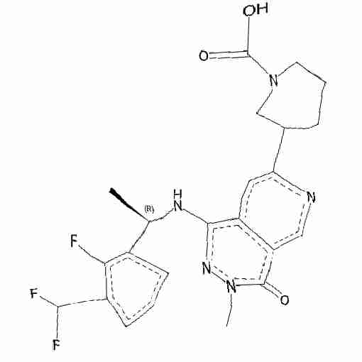 C[C@@H](Nc1nn(C)c(=O)c2cnc(C3CCCN(C(=O)O)C3)cc12)c1cccc(C(F)F)c1F